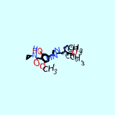 C/C=C\C(=C/c1ncc(-c2cc(O)c(C(=O)NC3CC3)c(OC)c2)[nH]1)C(C)(C)C(C)=O